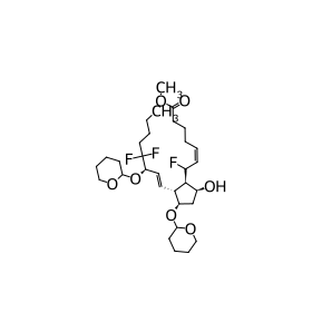 CCCCC(F)(F)[C@@H](/C=C/[C@@H]1[C@@H](C(F)/C=C\CCCC(=O)OC)[C@@H](O)C[C@H]1OC1CCCCO1)OC1CCCCO1